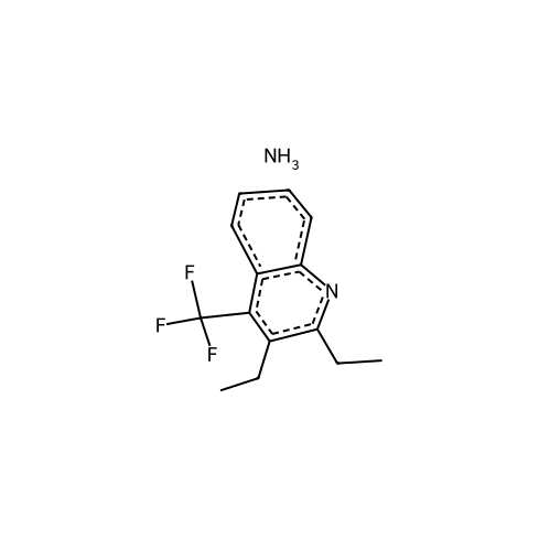 CCc1nc2ccccc2c(C(F)(F)F)c1CC.N